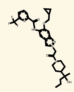 CCCC(C)(O)C1CCN(C(=O)Cn2cc3cc(NC(=O)c4cccc(C(F)(F)F)n4)c(OCC4CC4)cc3n2)CC1